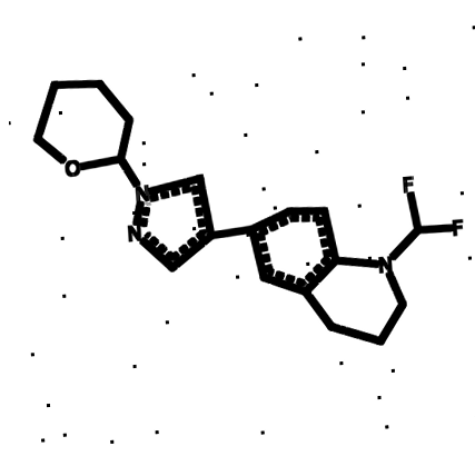 FC(F)N1CCCc2cc(-c3cnn(C4CCCCO4)c3)ccc21